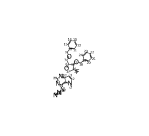 Cn1cc([C@@H]2OC(COCc3ccccc3)[C@@H](OCc3ccccc3)[C@H]2F)c2ncnc(N=[N+]=[N-])c21